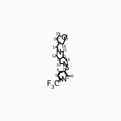 Cc1nc(C(F)(F)F)ccc1SN1CC2CN(CC3CCOCC3)CC2C1